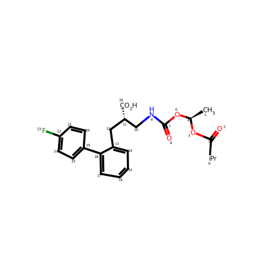 CC(C)C(=O)O[C@H](C)OC(=O)NC[C@H](Cc1ccccc1-c1ccc(F)cc1)C(=O)O